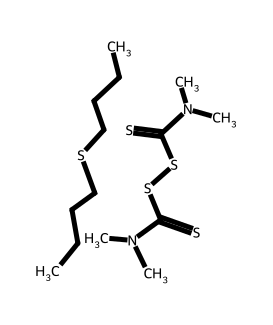 CCCCSCCCC.CN(C)C(=S)SSC(=S)N(C)C